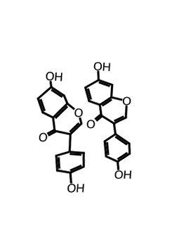 O=c1c(-c2ccc(O)cc2)coc2cc(O)ccc12.O=c1c(-c2ccc(O)cc2)coc2cc(O)ccc12